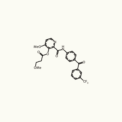 COCCC(=O)Oc1c(OC)ccnc1C(=O)Nc1ccc(C(=O)c2cccc(C(F)(F)F)c2)cc1